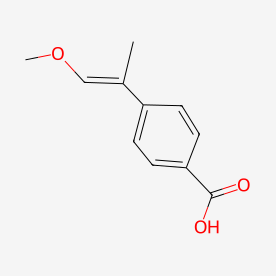 COC=C(C)c1ccc(C(=O)O)cc1